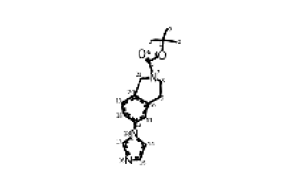 CC(C)(C)OC(=O)N1CCc2cc(-n3ccnc3)ccc2C1